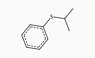 C[C](C)Sc1ccccc1